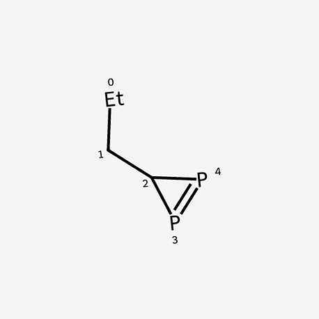 CCCC1P=P1